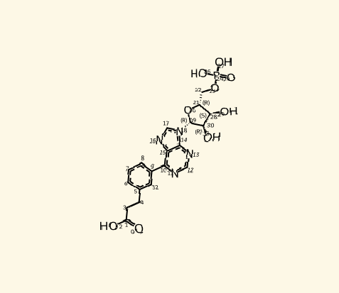 O=C(O)CCc1cccc(-c2ncnc3c2ncn3[C@@H]2O[C@H](COP(=O)(O)O)[C@@H](O)[C@H]2O)c1